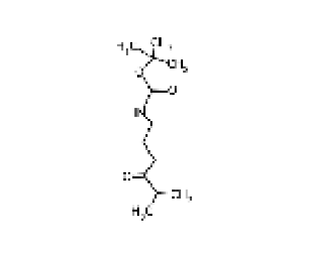 CC(C)C(=O)CCCNC(=O)OC(C)(C)C